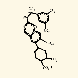 COc1cc2nc(N[C@H](C)c3cc([N+](=O)[O-])cc(C(F)(F)F)c3)ncc2cc1C1CCC(C(=O)O)C(C)C1